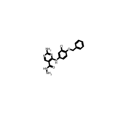 NNC(=O)c1cnc(N)nc1Nc1ccc(OCc2ccccc2)c(Cl)c1